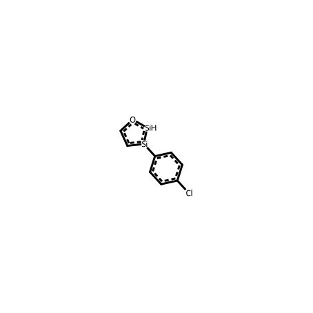 Clc1ccc(-[si]2cco[siH]2)cc1